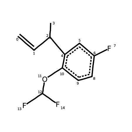 C=C[C](C)c1cc(F)ccc1OC(F)F